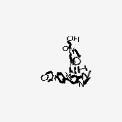 O=C(CCO)N1CCO[C@H](CNc2nc(-c3ccc(N4CCOCC4)cc3)cc3nccnc23)C1